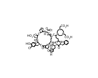 CCC(=O)[C@@H]1CSSC[C@H](NC(=O)[C@@H](CC(=O)[C@H](Cc2ccccc2)NC(=O)CCC(C(=O)O)N2CCN(CC(=O)O)CCN(CC(=O)O)CC2)Cc2c[nH]cn2)C(=O)N2C[C@H](O)C[C@H]2C(=O)C[C@@H](Cc2ccc(O)c(Cl)c2)C(=O)N[C@@H](CC(=O)O)C(=O)C[C@@H](CC(C)C)C(=O)N1